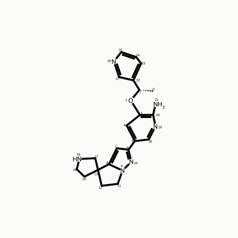 C[C@H](Oc1cc(-c2cc3n(n2)CCC32CCNC2)cnc1N)c1cccnc1